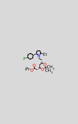 CCc1ccc(-c2ccc(F)cc2)n1CC[C@H]1C[C@@H](CC(=O)OC(C)C)OC(C)(C)O1